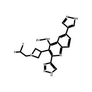 CC(C)Nc1c(C2CN(CC(F)F)C2)c(-c2c[nH]nn2)nc2ccc(-c3cn[nH]c3)cc12